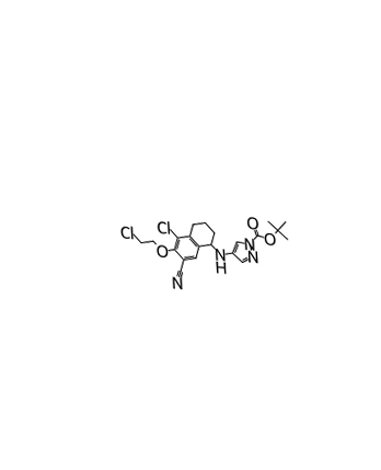 CC(C)(C)OC(=O)n1cc(NC2CCCc3c2cc(C#N)c(OCCCl)c3Cl)cn1